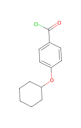 O=C(Cl)c1ccc(OC2CCCCC2)cc1